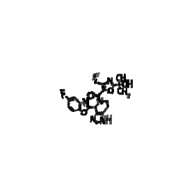 CC(C)(O)c1nc(CF)c(C(=O)N2CCc3[nH]cnc3[C@H]2c2nc3cc(F)ccc3o2)o1